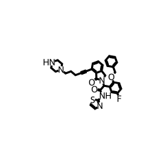 O=C(Nc1nccs1)C(c1cc(F)ccc1OCc1ccccc1)N1Cc2cccc(C#CCCCN3CCNCC3)c2C1=O